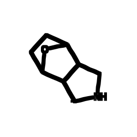 [CH]1NCC2C3CCC(O3)C12